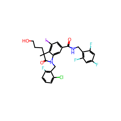 CC1(CCCO)C(=O)N(Cc2c(F)cccc2Cl)c2cc(C(=O)NCc3c(F)cc(F)cc3F)cc(I)c21